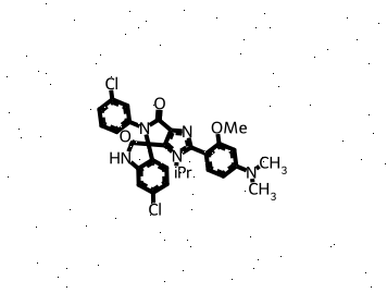 COc1cc(N(C)C)ccc1-c1nc2c(n1C(C)C)C1(C(=O)Nc3cc(Cl)ccc31)N(c1cccc(Cl)c1)C2=O